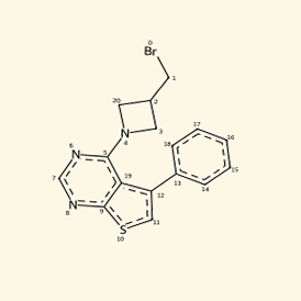 BrCC1CN(c2ncnc3scc(-c4ccccc4)c23)C1